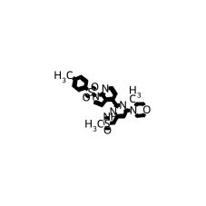 Cc1ccc(S(=O)(=O)n2ccc3c(-c4nc(CS(C)(=N)=O)cc(N5CCOCC5C)n4)ccnc32)cc1